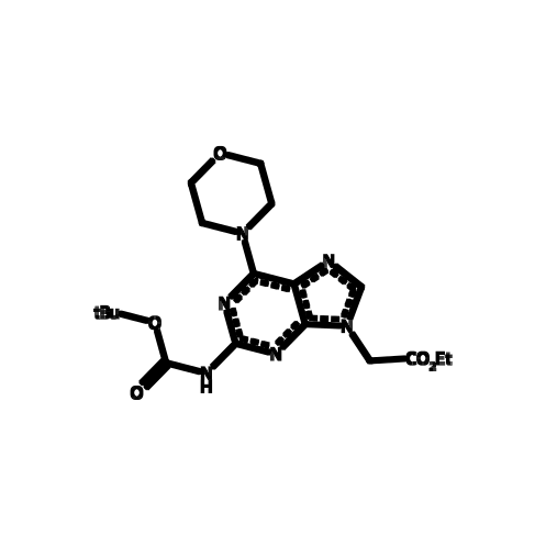 CCOC(=O)Cn1cnc2c(N3CCOCC3)nc(NC(=O)OC(C)(C)C)nc21